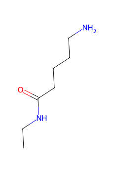 CCNC(=O)CCCCN